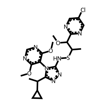 COc1ncnc(OC)c1-n1c(NSC(C)C(OC)c2ncc(Cl)cn2)nnc1C(C)C1CC1